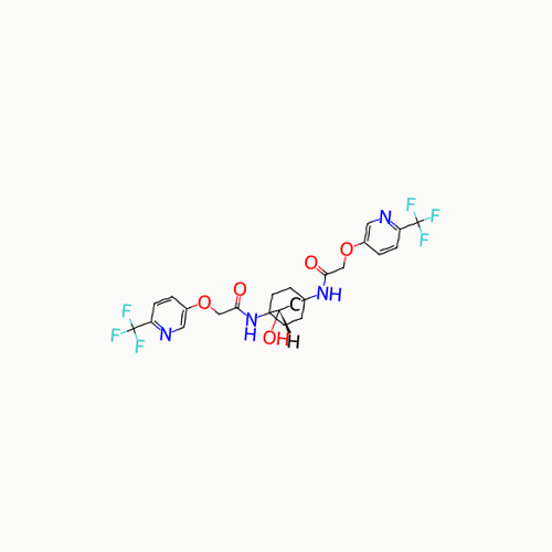 O=C(COc1ccc(C(F)(F)F)nc1)NC12CCC(NC(=O)COc3ccc(C(F)(F)F)nc3)(CC1)[C@@H](O)C2